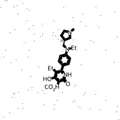 CCc1c(-c2ccc(N(CC)C[C@H]3CCN(C)C3)cc2)[nH]c(=O)c(C(=O)O)c1O